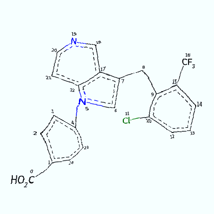 O=C(O)c1ccc(-n2cc(Cc3c(Cl)cccc3C(F)(F)F)c3cnccc32)cc1